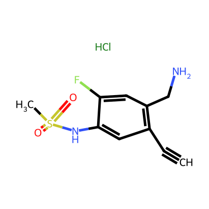 C#Cc1cc(NS(C)(=O)=O)c(F)cc1CN.Cl